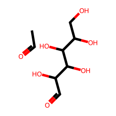 CC=O.O=CC(O)C(O)C(O)C(O)CO